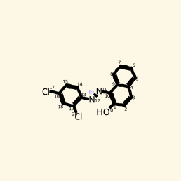 Oc1ccc2ccccc2c1/N=N/c1ccc(Cl)cc1Cl